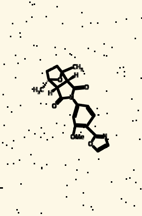 COc1cc(N2C(=O)[C@@H]3[C@H](C2=O)[C@@]2(C)CCC3(C)O2)ccc1-c1ncco1